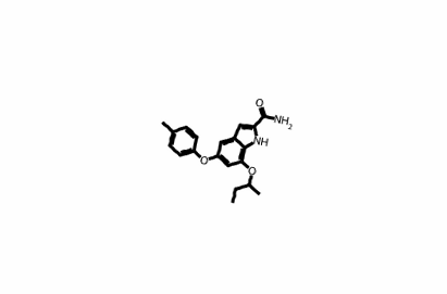 CCC(C)Oc1cc(Oc2ccc(C)cc2)cc2cc(C(N)=O)[nH]c12